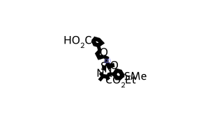 CCOC(=O)C1=C(C)N=c2s/c(=C\c3ccc(-c4cccc(C(=O)O)c4)o3)c(=O)n2C1c1ccc(SC)cc1